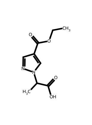 CCOC(=O)c1cnn(C(C)C(=O)O)c1